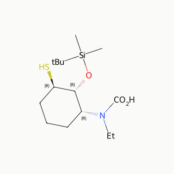 CCN(C(=O)O)[C@@H]1CCC[C@@H](S)[C@@H]1O[Si](C)(C)C(C)(C)C